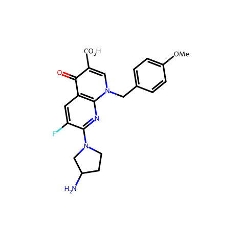 COc1ccc(Cn2cc(C(=O)O)c(=O)c3cc(F)c(N4CCC(N)C4)nc32)cc1